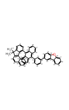 CC1(C)c2cccc(-c3c4ccccc4c(-c4cccc(-c5ccc6oc7ccccc7c6c5)c4)c4ccccc34)c2-c2c1ccc1ccccc21